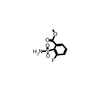 COC(=O)c1cccc(F)c1S(N)(=O)=O